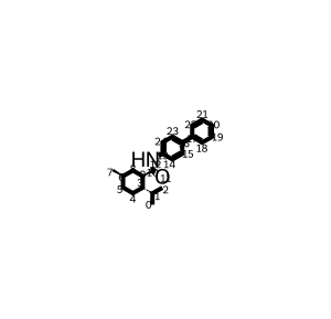 CC(C)[C@@H]1CC[C@@H](C)C[C@H]1C(=O)Nc1ccc(-c2ccccc2)cc1